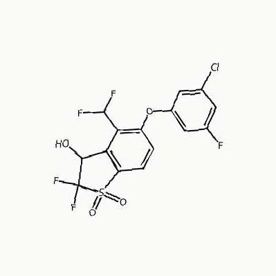 O=S1(=O)c2ccc(Oc3cc(F)cc(Cl)c3)c(C(F)F)c2C(O)C1(F)F